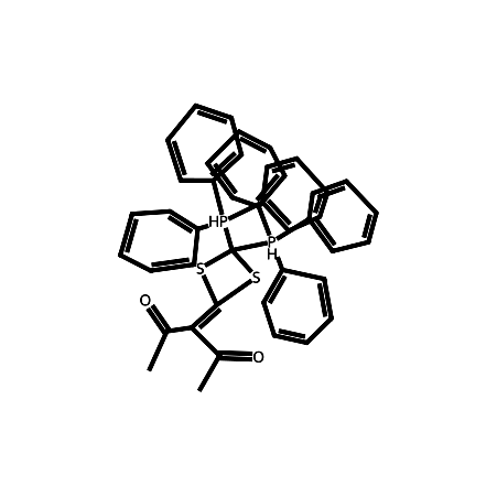 CC(=O)C(C(C)=O)=C1SC([PH](c2ccccc2)(c2ccccc2)c2ccccc2)([PH](c2ccccc2)(c2ccccc2)c2ccccc2)S1